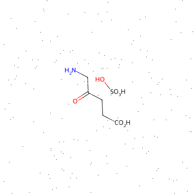 NCC(=O)CCC(=O)O.O=S(=O)(O)O